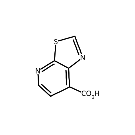 O=C(O)c1ccnc2scnc12